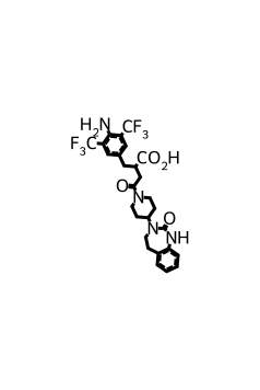 Nc1c(C(F)(F)F)cc(CC(CC(=O)N2CCC(N3CCc4ccccc4NC3=O)CC2)C(=O)O)cc1C(F)(F)F